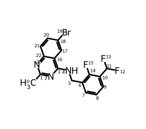 Cc1nc(NCc2cccc(C(F)F)c2F)c2cc(Br)ccc2n1